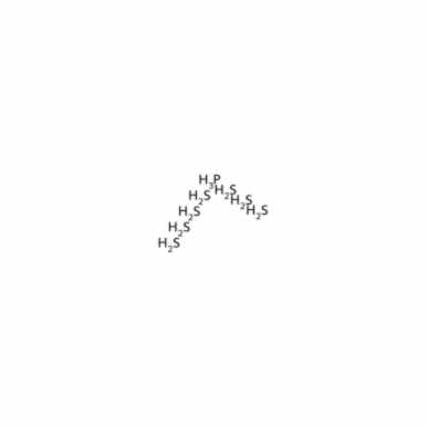 P.S.S.S.S.S.S.S